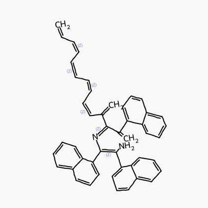 C=C\C=C/C=C\C=C/C=C\C(=C)/C(=N/C(=C(\N)c1cccc2ccccc12)c1cccc2ccccc12)C(=C)c1cccc2ccccc12